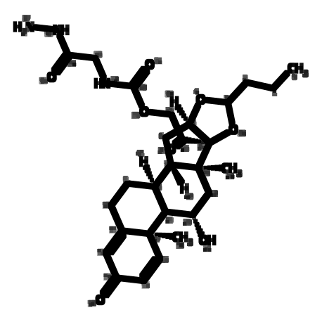 CCCC1O[C@@H]2C[C@H]3[C@@H]4CCC5=CC(=O)C=C[C@]5(C)C4[C@@H](O)C[C@]3(C)[C@]2(C(=O)COC(=O)NCC(=O)NN)O1